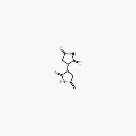 O=C1CN(N2CC(=O)NC2=S)C(=O)N1